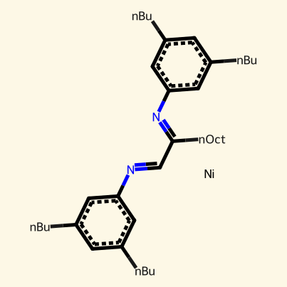 CCCCCCCCC(C=Nc1cc(CCCC)cc(CCCC)c1)=Nc1cc(CCCC)cc(CCCC)c1.[Ni]